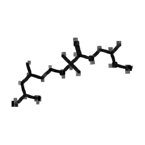 CCC(CC)CC(C)CCOC(C)(C)C(=O)OCC(C)OC(C)C